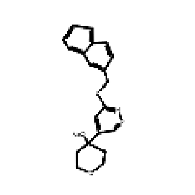 COC1(c2cnnc(OCc3ccc4ccccc4c3)c2)CCOCC1